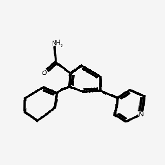 NC(=O)c1ccc(-c2ccncc2)cc1C1=CCCCC1